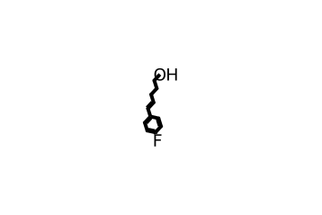 OCCCC=Cc1ccc(F)cc1